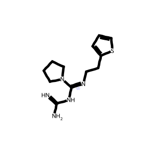 N=C(N)N/C(=N/CCc1cccs1)N1CCCC1